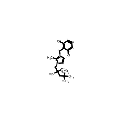 Cc1n(CC(C)(C)CC(C)(C)C)cc[n+]1Cc1c(Cl)c#ccc1Cl